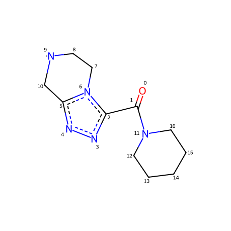 O=C(c1nnc2n1CC[N]C2)N1CCCCC1